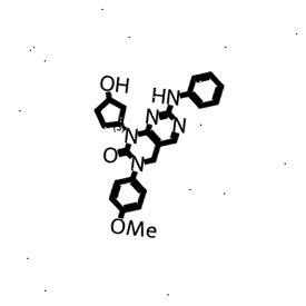 COc1ccc(N2Cc3cnc(Nc4ccccc4)nc3N([C@H]3CCC(O)C3)C2=O)cc1